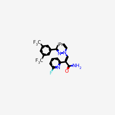 C=CN(/C=C(/C(N)=O)c1cccc(F)n1)/N=C(/c1cc(C(F)(F)F)cc(C(F)(F)F)c1)C(C)C